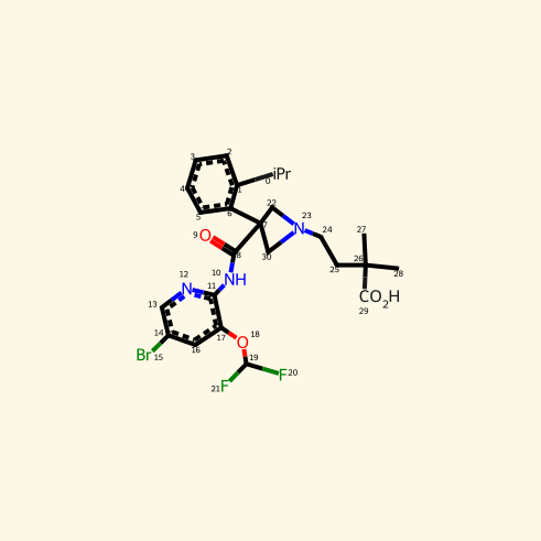 CC(C)c1ccccc1C1(C(=O)Nc2ncc(Br)cc2OC(F)F)CN(CCC(C)(C)C(=O)O)C1